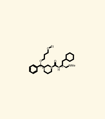 CCOCCCO[C@@H](c1ccccc1)[C@@H]1CCCN(C(=O)N[C@H](CNC)CC2CCCCC2)C1